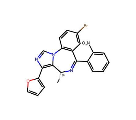 C[C@H]1N=C(c2ccccc2[N+](=O)[O-])c2cc(Br)ccc2-n2cnc(-c3ccco3)c21